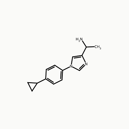 CC(N)c1cn(-c2ccc(C3CC3)cc2)cn1